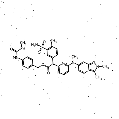 CPC(=O)Nc1ccc(COC(=O)N(c2ccc(C)c(S(N)(=O)=O)c2)c2nccc(N(C)c3ccc4c(C)n(C)nc4c3)n2)cc1